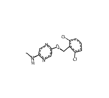 CNc1cnc(OCc2c(Cl)cccc2Cl)cn1